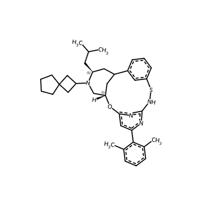 Cc1cccc(C)c1-c1cc2nc(n1)NSc1cccc(c1)C1C[C@@H](CN(C3CC4(CCCC4)C3)[C@@H](CC(C)C)C1)O2